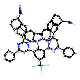 N#Cc1cccc(-c2ccc3c(c2)c2cc(-c4cccc(C#N)c4)ccc2n3-c2c(-c3cc(-c4ccccc4)nc(-c4ccccc4)n3)cc(C(F)(F)F)cc2-c2nc(-c3ccccc3)cc(-c3ccccc3)n2)c1